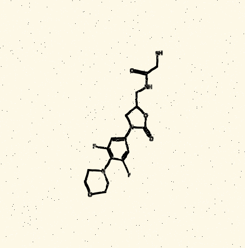 O=C(CS)NCC1CN(c2cc(F)c(N3CCOCC3)c(F)c2)C(=O)O1